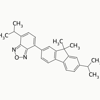 CC(C)c1ccc2c(c1)C(C)(C)c1cc(-c3ccc(C(C)C)c4nonc34)ccc1-2